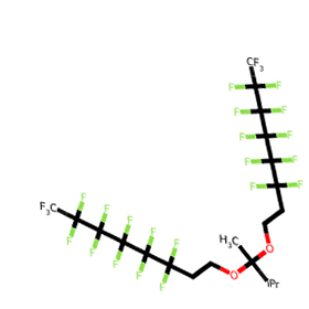 CC(C)C(C)(OCCC(F)(F)C(F)(F)C(F)(F)C(F)(F)C(F)(F)C(F)(F)F)OCCC(F)(F)C(F)(F)C(F)(F)C(F)(F)C(F)(F)C(F)(F)F